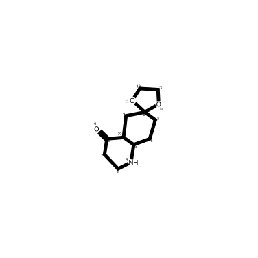 O=C1CCNC2CCC3(CC12)OCCO3